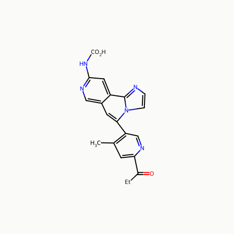 CCC(=O)c1cc(C)c(-c2cc3cnc(NC(=O)O)cc3c3nccn23)cn1